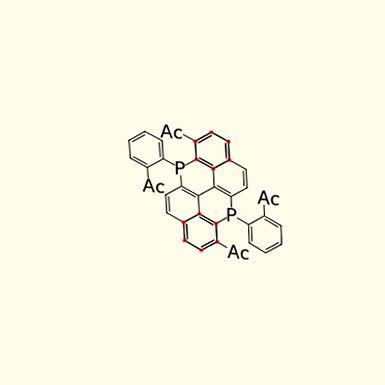 CC(=O)c1ccccc1P(c1ccccc1C(C)=O)c1ccc2ccccc2c1-c1c(P(c2ccccc2C(C)=O)c2ccccc2C(C)=O)ccc2ccccc12